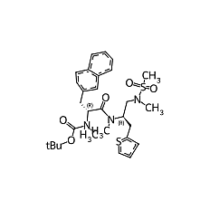 CN(C(=O)[C@@H](Cc1ccc2ccccc2c1)N(C)C(=O)OC(C)(C)C)[C@H](Cc1cccs1)CN(C)S(C)(=O)=O